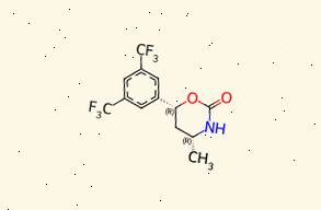 C[C@@H]1C[C@H](c2cc(C(F)(F)F)cc(C(F)(F)F)c2)OC(=O)N1